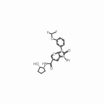 CC(C)n1c(=O)n(-c2cccc(OC(F)F)c2)c2ccc(C(=O)N[C@H]3CCC[C@@H]3O)cc21